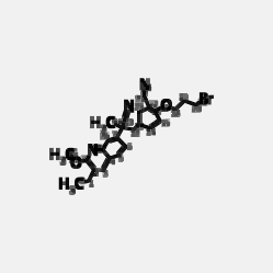 CCc1cc2ccc(C(C)(C#N)Cc3ccc(OCCCBr)c(C#N)c3)cc2nc1OC